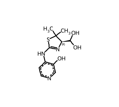 CC1(C)SC(Nc2ccncc2O)=N[C@@H]1C(O)O